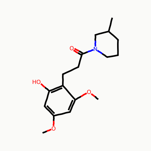 COc1cc(O)c(CCC(=O)N2CCCC(C)C2)c(OC)c1